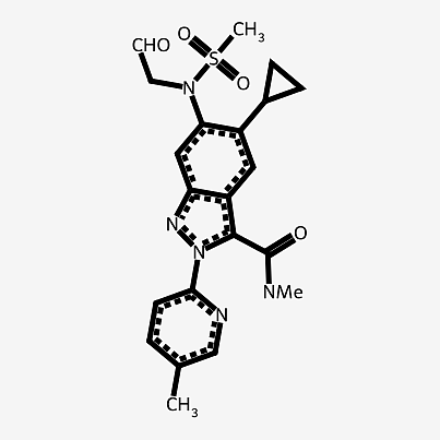 CNC(=O)c1c2cc(C3CC3)c(N(CC=O)S(C)(=O)=O)cc2nn1-c1ccc(C)cn1